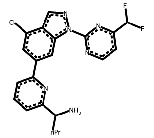 CCCC(N)c1cccc(-c2cc(Cl)c3cnn(-c4nccc(C(F)F)n4)c3c2)n1